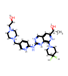 C[C@@H](O)c1cc2cnc(Nc3ccc(CN4CCN(CCO)CC4)cn3)nc2c(N2CCC(F)(F)CC2)n1